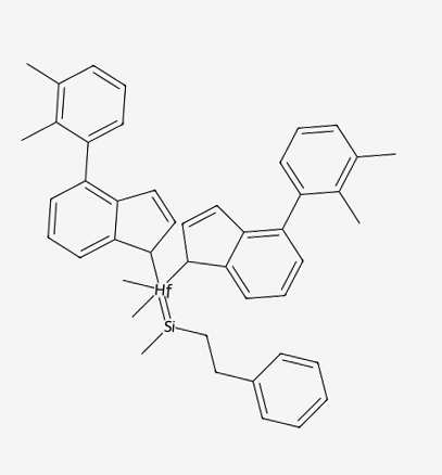 Cc1cccc(-c2cccc3c2C=C[CH]3[Hf]([CH3])([CH3])([CH]2C=Cc3c(-c4cccc(C)c4C)cccc32)=[Si](C)CCc2ccccc2)c1C